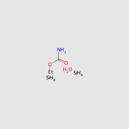 CCOC(N)=O.O.[SiH4].[SiH4]